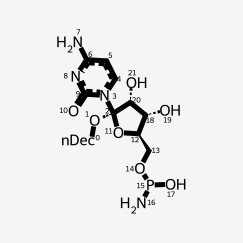 CCCCCCCCCCO[C@@]1(n2ccc(N)nc2=O)O[C@H](COP(N)O)[C@@H](O)[C@H]1O